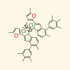 Cc1ccc(C2=Cc3c(ccc(C)c3-c3cc(C)c(C)c(C)c3)[CH]2[Zr]([Cl])([Cl])([CH]2C(c3ccc(C)o3)=Cc3c2ccc(C)c3-c2cc(C)c(C)c(C)c2)=[Si](C)C)o1